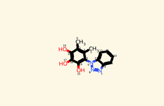 Cc1c(C)c(-n2nnc3ccccc32)c(O)c(O)c1O